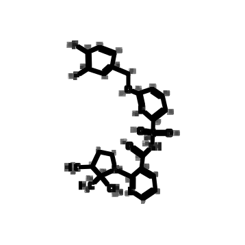 CC1CCN(c2ncccc2C(=O)NS(=O)(=O)c2cccc(OCc3ccc(F)c(F)c3)n2)C1(C)C